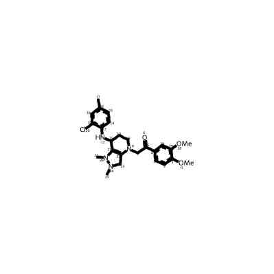 COc1ccc(C(=O)CN2CCC(Nc3ccc(C)cc3Cl)C3=C2CN(C)N3C)cc1OC